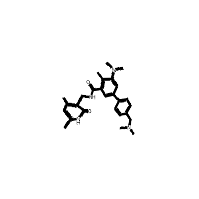 Cc1cc(C)c(CNC(=O)c2cc(-c3ccc(CN(C)C)cc3)cc(N(C)C)c2C)c(=O)[nH]1